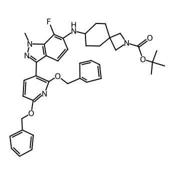 Cn1nc(-c2ccc(OCc3ccccc3)nc2OCc2ccccc2)c2ccc(NC3CCC4(CC3)CN(C(=O)OC(C)(C)C)C4)c(F)c21